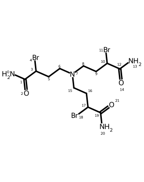 NC(=O)C(Br)CCN(CCC(Br)C(N)=O)CCC(Br)C(N)=O